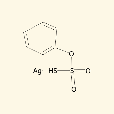 O=S(=O)(S)Oc1ccccc1.[Ag]